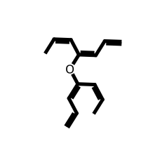 C=C/C=C(\C=C/C)OC(/C=C\C)=C/C=C